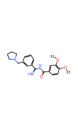 CCOc1ccc(C(=O)NC(=N)c2cccc(CN3CCCC3)c2)cc1OCC